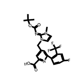 Cn1ccn(Cc2cc(C(=O)O)nc(-c3ccc(F)cc3C(F)(F)F)c2)c1=NC(=O)OC(C)(C)C